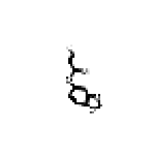 CC=CC(Br)Oc1ccc2c(c1)OCO2